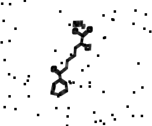 NOC(=O)C(Cl)CCCCC(=O)c1ccccc1